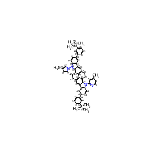 Cc1ccnc(-n2c3c(c4cc5c6c(c42)CCc2cc4c7cc(-c8cccc([Si](C)(C)C)c8)ccc7n(-n7ccc(C)c7)c4c(c2-6)CC5)CC(c2cccc([Si](C)(C)C)c2)C=C3)c1